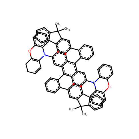 CC1(C)c2ccccc2-c2ccc(-c3ccccc3-c3c4ccc(N5c6ccccc6Oc6ccccc65)cc4c(-c4ccccc4-c4ccc5c(c4)C(C)(C)c4ccccc4-5)c4ccc(N5C6=C(CCC=C6)Oc6ccccc65)cc34)cc21